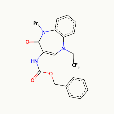 CC(C)N1C(=O)C(NC(=O)OCc2ccccc2)=CN(CC(F)(F)F)c2ccccc21